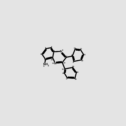 Nc1cccc2nc(-c3ccccc3)c(-c3ccccc3)nc12